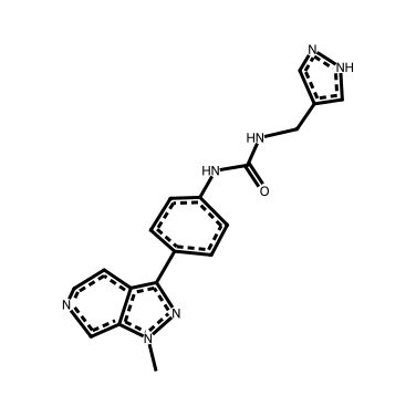 Cn1nc(-c2ccc(NC(=O)NCc3cn[nH]c3)cc2)c2ccncc21